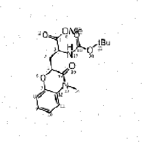 COC(=O)[C@H](C[C@@H]1Oc2ccccc2N(C)C1=O)NC(=O)OC(C)(C)C